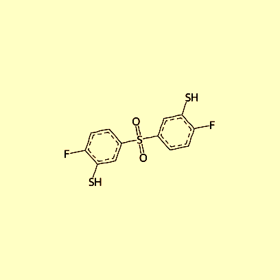 O=S(=O)(c1ccc(F)c(S)c1)c1ccc(F)c(S)c1